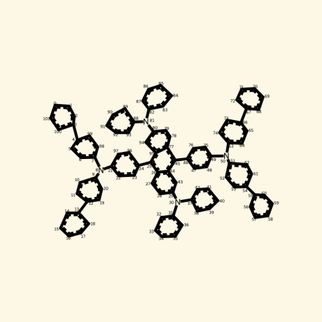 c1ccc(-c2ccc(N(c3ccc(-c4ccccc4)cc3)c3ccc(-c4c5ccc(N(c6ccccc6)c6ccccc6)cc5c(-c5ccc(N(c6ccc(-c7ccccc7)cc6)c6ccc(-c7ccccc7)cc6)cc5)c5ccc(N(c6ccccc6)c6ccccc6)cc45)cc3)cc2)cc1